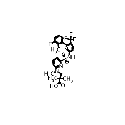 Cc1c(F)cccc1-c1nc(NS(=O)(=O)c2cccc(N(C)CC(C)(C)C(=O)O)n2)ccc1C(F)(F)F